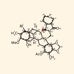 COc1c(C)c(Br)c2c(c1O)[C@H]1[C@@H]3Cc4c(OC(C)=O)c(C)c5c(c4[C@H](CN4C(=O)c6ccccc6C4=O)N3[C@@H](C#N)[C@H](C2)N1C)OCO5